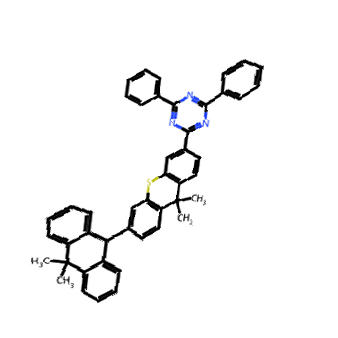 CC1(C)c2ccc(-c3nc(-c4ccccc4)nc(-c4ccccc4)n3)cc2Sc2cc(C3c4ccccc4C(C)(C)c4ccccc43)ccc21